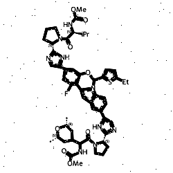 CCc1ccc(C2Oc3cc(-c4cnc([C@@H]5CCCN5C(=O)[C@@H](NC(=O)OC)C(C)C)[nH]4)cc(F)c3-c3cc4cc(-c5cnc([C@@H]6CCCN6C(=O)C(NC(=O)OC)C6C[C@@H](C)O[C@@H](C)C6)[nH]5)ccc4n32)s1